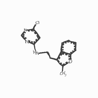 Cc1oc2ccccc2c1CCNc1cc(Cl)ncn1